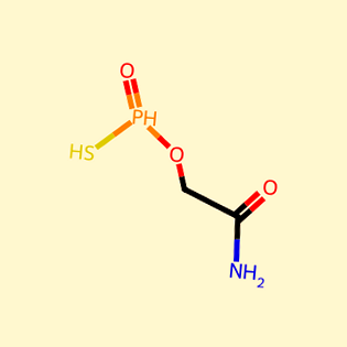 NC(=O)CO[PH](=O)S